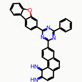 N=C1C=Cc2ccc3cc(-c4nc(-c5ccccc5)nc(-c5ccc6c(c5)oc5ccccc56)n4)ccc3c2C1=N